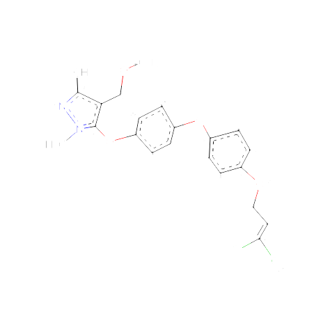 COCc1c(C)nn(C)c1Oc1ccc(Oc2ccc(OCC=C(Cl)Cl)cc2)cc1